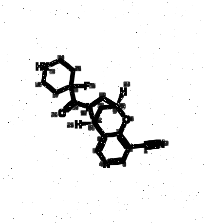 N#Cc1cncc2c1O[C@H]1C[C@@H]2N(C(=O)C2(F)CCNCC2)C1